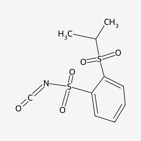 CC(C)S(=O)(=O)c1ccccc1S(=O)(=O)N=C=O